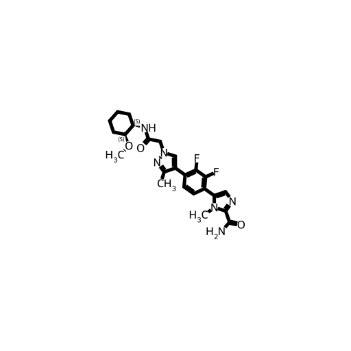 CO[C@H]1CCCC[C@@H]1NC(=O)Cn1cc(-c2ccc(-c3cnc(C(N)=O)n3C)c(F)c2F)c(C)n1